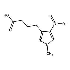 Cn1cc([N+](=O)[O-])c(CCCC(=O)O)n1